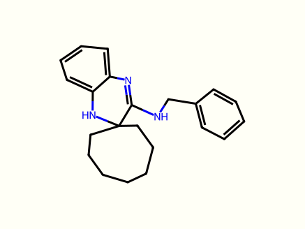 c1ccc(CNC2=Nc3ccccc3NC23CCCCCCC3)cc1